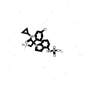 CCC(C(=O)NC1CC1)(c1ccc(Cl)cc1)n1ccc2c(NS(C)(=O)=O)cccc21